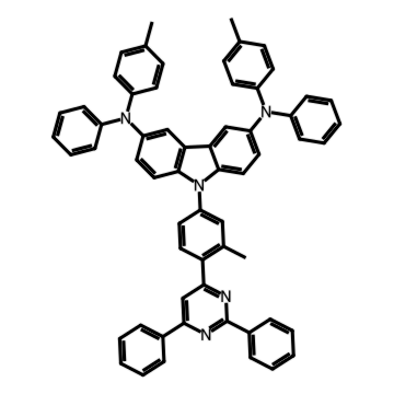 Cc1ccc(N(c2ccccc2)c2ccc3c(c2)c2cc(N(c4ccccc4)c4ccc(C)cc4)ccc2n3-c2ccc(-c3cc(-c4ccccc4)nc(-c4ccccc4)n3)c(C)c2)cc1